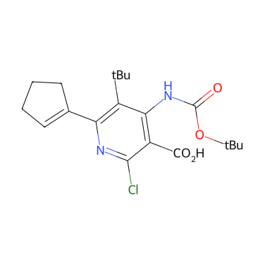 CC(C)(C)OC(=O)Nc1c(C(=O)O)c(Cl)nc(C2=CCCC2)c1C(C)(C)C